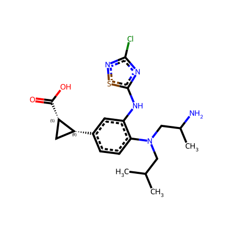 CC(C)CN(CC(C)N)c1ccc([C@@H]2C[C@@H]2C(=O)O)cc1Nc1nc(Cl)ns1